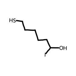 OC(I)CCCCCS